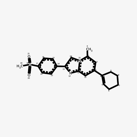 Cc1cc(C2=CCCCC2)cc2nc(-c3ccc(S(C)(=O)=O)cc3)cn12